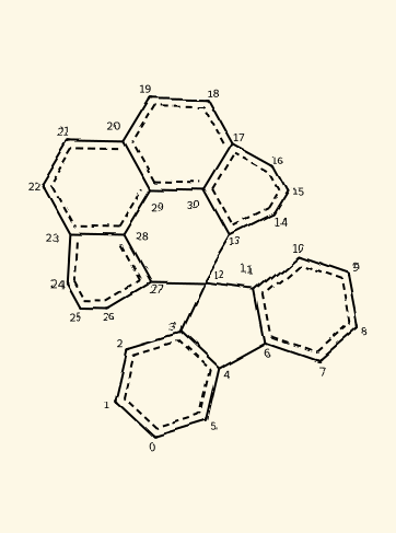 c1ccc2c(c1)-c1ccccc1C21c2cccc3ccc4ccc5cccc1c5c4c23